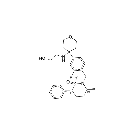 C[C@H]1CC[C@H](c2ccccc2)S(=O)(=O)N1Cc1ccc(C2(NCCO)CCOCC2)cc1F